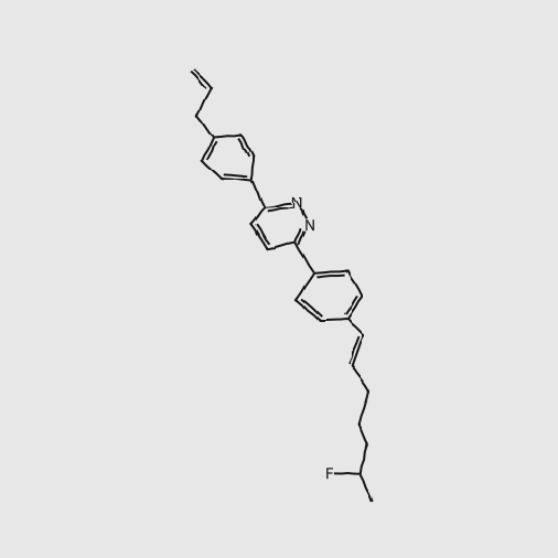 C=CCc1ccc(-c2ccc(-c3ccc(C=CCCCC(C)F)cc3)nn2)cc1